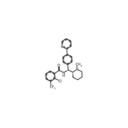 CN1CCCC[C@H]1[C@@H](NC(=O)c1cccc(C(F)(F)F)c1Cl)c1ccc(-c2ccccn2)cc1